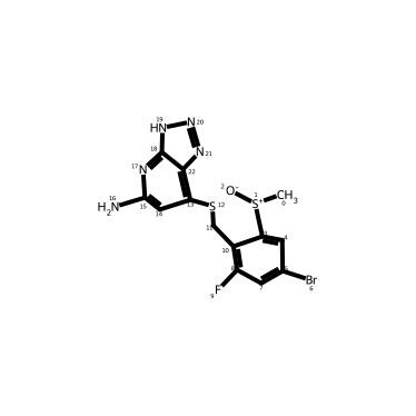 C[S+]([O-])c1cc(Br)cc(F)c1CSc1cc(N)nc2[nH]nnc12